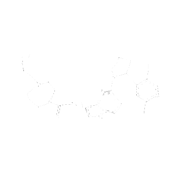 CCN1CCN(C(=O)Nc2cnn3ccc(N4CCCC4c4cc(F)ccc4F)nc23)CC1